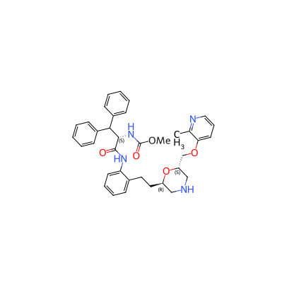 COC(=O)N[C@H](C(=O)Nc1ccccc1CC[C@@H]1CNC[C@@H](COc2cccnc2C)O1)C(c1ccccc1)c1ccccc1